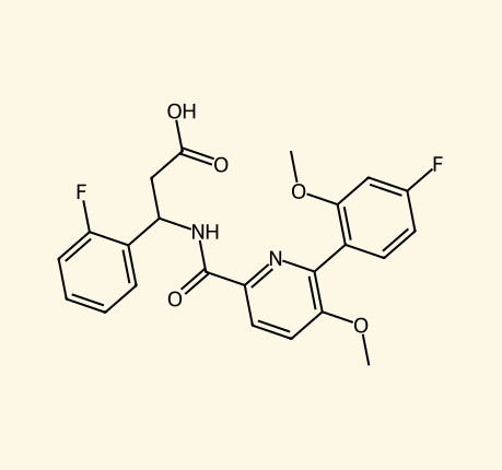 COc1cc(F)ccc1-c1nc(C(=O)NC(CC(=O)O)c2ccccc2F)ccc1OC